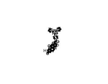 C[C@]12CCC(=O)C=C1CC[C@@H]1[C@@H]2C(=O)C[C@]2(C)C(=CC(=O)N3CCN(c4nc(N5CCCC5)nc(N5CCCC5)n4)CC3)CC[C@@H]12